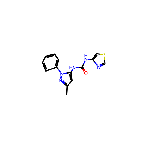 Cc1cc(NC(=O)Nc2cscn2)n(-c2ccccc2)n1